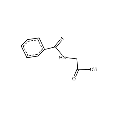 O=C(O)CNC(=S)c1ccccc1